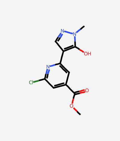 COC(=O)c1cc(Cl)nc(-c2cnn(C)c2O)c1